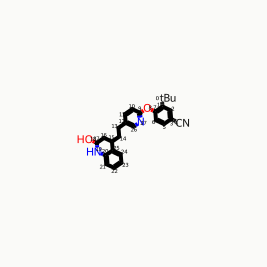 CC(C)(C)c1cc(C#N)ccc1Oc1ccc(CCC2CC(O)Nc3ccccc32)cn1